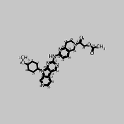 COC1CCC(n2c3cnccc3c3cnc(Nc4ccc5c(n4)CCN(C(=O)COC(C)=O)C5)nc32)CC1